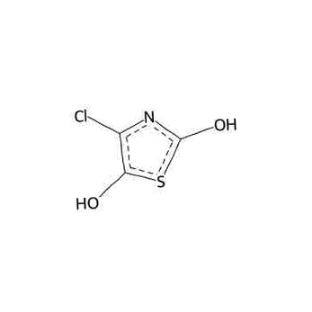 Oc1nc(Cl)c(O)s1